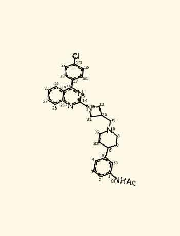 CC(=O)Nc1cccc(C2CCN(CC3CN(c4nc(-c5ccc(Cl)cc5)c5ccccc5n4)C3)CC2)c1